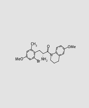 COc1cc(C)c(C[C@@H](N)C(=O)N2CCCc3cc(OC)ccc32)c(Br)c1